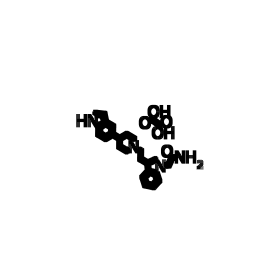 NC(=O)CN1CC(CCN2CCC(c3ccc4[nH]ccc4c3)CC2)c2ccccc21.O=C(O)C(=O)O